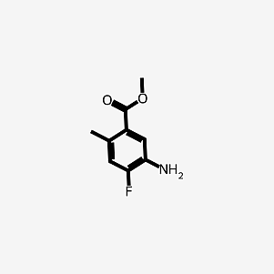 COC(=O)c1cc(N)c(F)cc1C